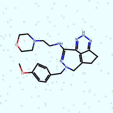 COc1ccc(CN2CC3=C4C(=NNN=C4C(NCCN4CCOCC4)=N2)CC3)cc1